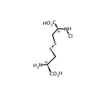 N[C@@H](CSSC[C@H](NCl)C(=O)O)C(=O)O